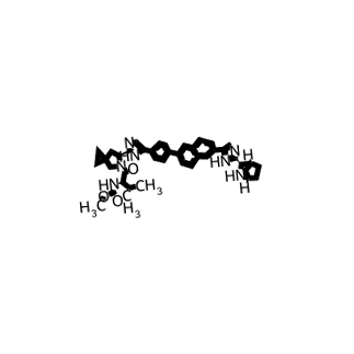 COC(=O)N[C@H](C(=O)N1CC2(CC2)C[C@H]1c1ncc(-c2ccc(-c3ccc4cc(-c5cnc([C@H]6N[C@@H]7CC[C@H]6C7)[nH]5)ccc4c3)cc2)[nH]1)C(C)C